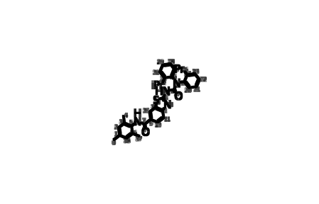 Cc1cc(C)c(NC(=O)c2ccc3nc(NC(=O)N(c4ccccc4C(C)C)c4ccccc4C(C)C)sc3c2)c(C)c1